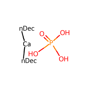 CCCCCCCCC[CH2][Ca][CH2]CCCCCCCCC.O=P(O)(O)O